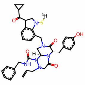 [3H]SN1CC(C(=O)C2CC2)c2cccc(CN3C[C@H]4N(C(=O)CN(CC=C)N4C(=O)NCc4ccccc4)[C@@H](Cc4ccc(O)cc4)C3=O)c21